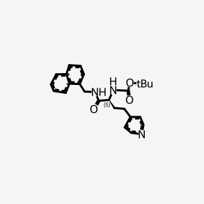 CC(C)(C)OC(=O)N[C@@H](CCc1ccncc1)C(=O)NCc1cccc2ccccc12